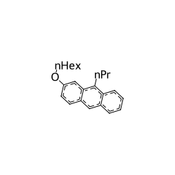 CCCCCCOc1ccc2cc3ccccc3c(CCC)c2c1